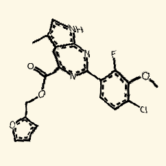 COc1c(Cl)ccc(-c2nc(C(=O)OCc3ccco3)c3c(C)c[nH]c3n2)c1F